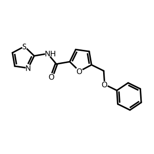 O=C(Nc1nccs1)c1ccc(COc2ccccc2)o1